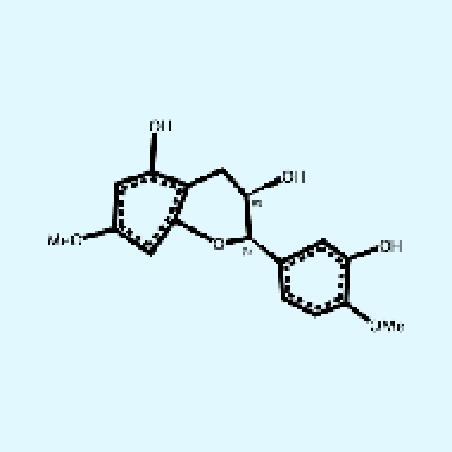 COc1cc(O)c2c(c1)O[C@H](c1ccc(OC)c(O)c1)[C@H](O)C2